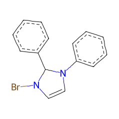 BrN1C=CN(c2ccccc2)C1c1ccccc1